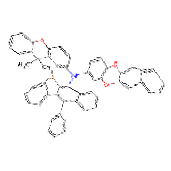 CC1(C)c2ccccc2Oc2ccc(N(c3ccc4c(c3)Oc3cc5ccccc5cc3O4)c3c4ccccc4c(-c4ccccc4)c4c3sc3ccccc34)cc21